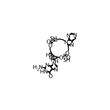 Nc1nc2c(ncn2[C@@H]2O[C@@H]3CO[P@@](=O)(S)OCCn4c(nc5cncnc54)CO[P@](=O)(S)O[C@@H]2[C@@H]3F)c(=O)[nH]1